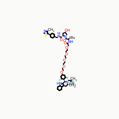 Cc1ncsc1-c1ccc(CNC(=O)[C@@H]2C[C@@H](O)CN2C(=O)C(NC(=O)COCCOCCOCCOCCOc2cc(F)c([C@@H]3c4[nH]c5ccccc5c4C[C@@H](C)N3CC(C)(C)F)c(F)c2)C(C)(C)C)cc1